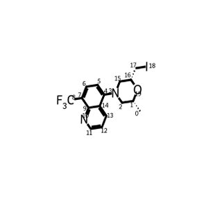 C[C@@H]1CN(c2ccc(C(F)(F)F)c3ncccc23)C[C@H](CI)O1